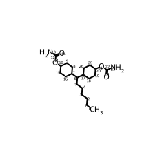 CCCCCCC(C1CCC(OC(N)=O)CC1)C1CCC(OC(N)=O)CC1